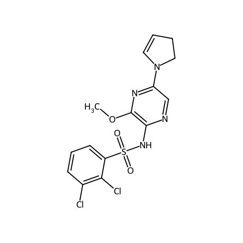 COc1nc(N2C=CCC2)cnc1NS(=O)(=O)c1cccc(Cl)c1Cl